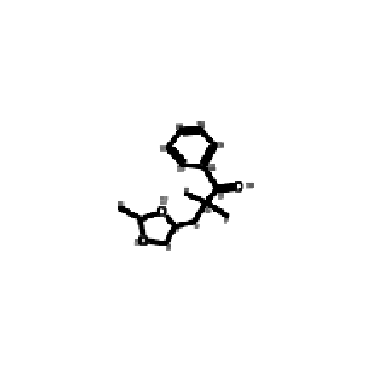 CC1OCC(CC(C)(C)C(=O)c2ccccc2)O1